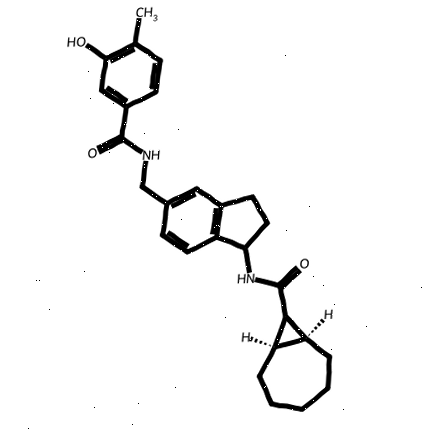 Cc1ccc(C(=O)NCc2ccc3c(c2)CCC3NC(=O)C2[C@H]3CCCCC[C@@H]23)cc1O